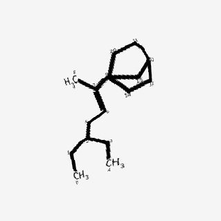 CCC(CC)CC=C(C)C12CCC(CC1)C2